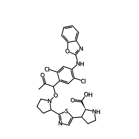 CC(=O)C(ON1CCCC1c1ncc(C2CCN[C@@H]2C(=O)O)s1)c1cc(Cl)c(Nc2nc3ccccc3o2)cc1Cl